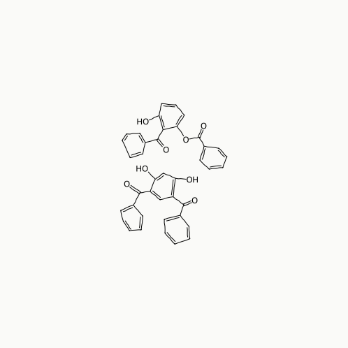 O=C(Oc1cccc(O)c1C(=O)c1ccccc1)c1ccccc1.O=C(c1ccccc1)c1cc(C(=O)c2ccccc2)c(O)cc1O